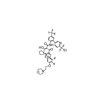 CCC(F)(F)c1ccc(-c2cc(C(F)(F)I)ccc2NC(=O)C2=C(O)C3(CCCC3)N(C)N(Cc3ccc(OCCN4CCOCC4)c(F)c3F)C2=O)cn1